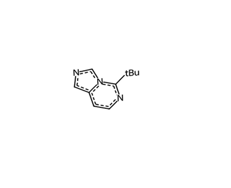 CC(C)(C)c1nccc2cncn12